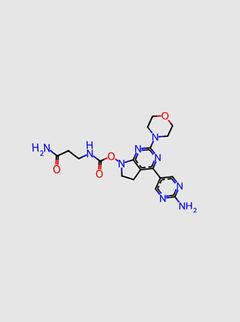 NC(=O)CCNC(=O)ON1CCc2c(-c3cnc(N)nc3)nc(N3CCOCC3)nc21